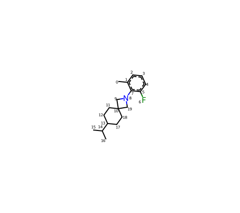 Cc1cccc(F)c1N1CC2(CCC(C(C)C)CC2)C1